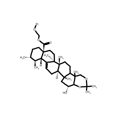 CCOCOC(=O)[C@]12CC[C@@H](C)[C@H](C)[C@H]1C1=CC[C@@H]3[C@@]4(C)C[C@@H](O)C5OC(C)(C)OCC5(C)C4CC[C@@]3(C)[C@]1(C)CC2